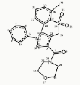 O=C(c1nn(-c2ccccc2)c2c1CS(=O)(=O)c1c(I)cccc1-2)N1CCOCC1